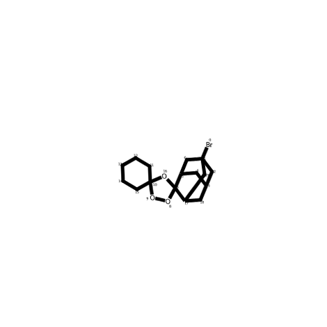 BrC12CC3CC(C1)C1(OOC4(CCCCC4)O1)C(C3)C2